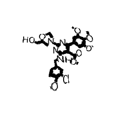 COC(=O)c1c(NCc2ccc(OC)c(Cl)c2)nc(N2CCOC(CO)C2)nc1-c1cc(OC)c(OC)c(OC)c1